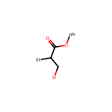 CCCOC(=O)C(CC)C[O]